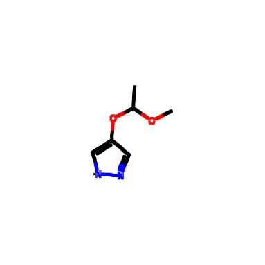 COC(C)OC1=C[N]N=C1